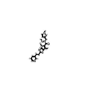 C=NN(Cc1ccn(C)n1)C(=O)c1c(C)c2sc(CCc3cccnc3)nc2n1C